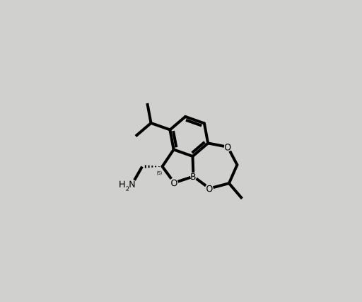 CC1COc2ccc(C(C)C)c3c2B(O1)O[C@@H]3CN